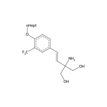 CCCCCCCOc1ccc(C=CC(N)(CO)CO)cc1C(F)(F)F